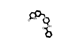 O=C1CCc2ccc(CN3CCC(NC(=O)c4ccccc4)CC3)cc2N1